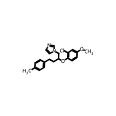 COc1ccc(OC(CCc2ccc(C)cc2)Cn2ccnc2)c(Cl)c1